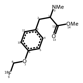 CNC(Cc1ccc(OC[18F])cc1)C(=O)OC